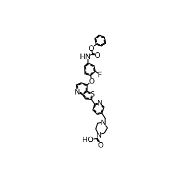 O=C(Nc1ccc(Oc2ccnc3cc(-c4ccc(CN5CCN(C(=O)O)CC5)cn4)sc23)c(F)c1)Oc1ccccc1